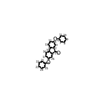 O=C1c2cc(Oc3ccccc3)ccc2-c2ccc(Oc3ccccc3)cc21